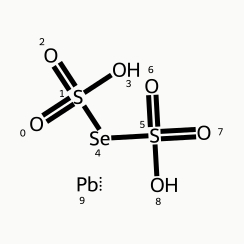 O=S(=O)(O)[Se]S(=O)(=O)O.[Pb]